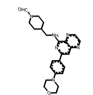 O=CN1CCC(CNc2nc(-c3ccc(N4CCOCC4)cc3)cc3nccnc23)CC1